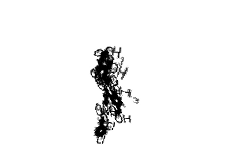 COc1ccc(CC(=O)O)cc1C(CCCNC(=O)OCc1ccc(Cl)cc1Cl)C(=O)N[C@H]1C(=O)N2C(C(=O)O)=C(COC(C)=O)CS(=O)(=O)[C@@H]12